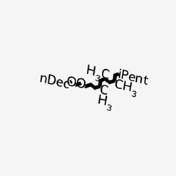 CCCCCCCCCCOCOCCCC(C)CC(C)CC(C)CC(C)CCC